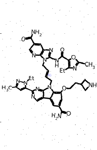 CCc1nc(C)oc1C(=O)Nc1nc2cc(C(N)=O)cnc2n1C/C=C/Cn1c2nc(-c3cc(C)nn3CC)ncc2c2cc(C(N)=O)cc(OCCC3CNC3)c21